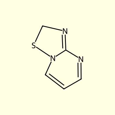 C1=CN2SCN=C2N=C1